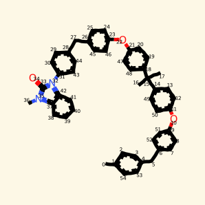 Cc1ccc(Cc2ccc(Oc3ccc(C(C)(C)c4ccc(Oc5ccc(Cc6ccc(-n7c(=O)n(C)c8ccccc87)cc6)cc5)cc4)cc3)cc2)cc1